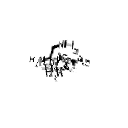 CC(N)=O.CC(N)=O.CC(N)=O.CC(N)=O.NCCN